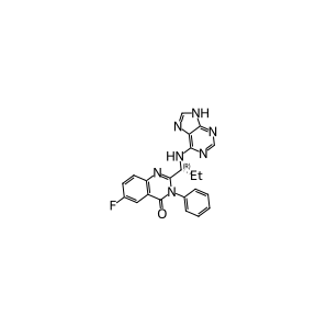 CC[C@@H](Nc1ncnc2[nH]cnc12)c1nc2ccc(F)cc2c(=O)n1-c1ccccc1